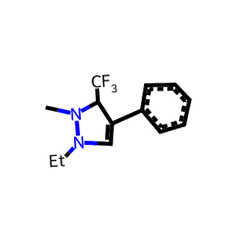 CCN1C=C(c2ccccc2)C(C(F)(F)F)N1C